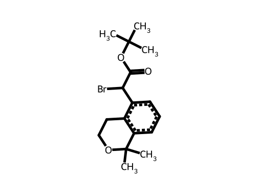 CC(C)(C)OC(=O)C(Br)c1cccc2c1CCOC2(C)C